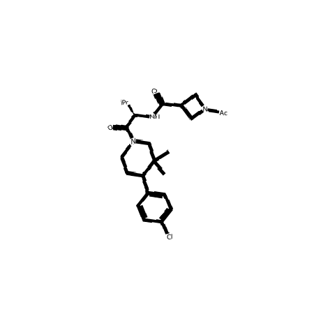 CC(=O)N1CC(C(=O)N[C@@H](C(=O)N2CCC(c3ccc(Cl)cc3)C(C)(C)C2)C(C)C)C1